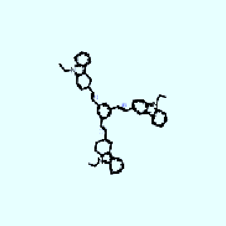 CCn1c2c(c3ccccc31)CC(/C=C/c1cc(/C=C/C3=Cc4c(n(CC)c5ccccc45)CC3)cc(/C=C/c3ccc4c(c3)c3ccccc3n4CC)c1)C=C2